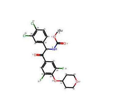 CC(C)(C)OC(=O)NC(C(=O)c1cc(F)c(OC2CCOCC2)c(F)c1)c1ccc(Cl)c(Cl)c1